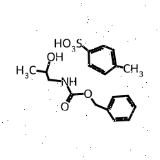 CC(O)CNC(=O)OCc1ccccc1.Cc1ccc(S(=O)(=O)O)cc1